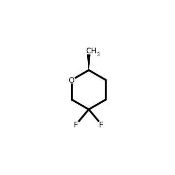 C[C@H]1CCC(F)(F)CO1